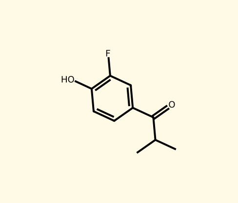 CC(C)C(=O)c1ccc(O)c(F)c1